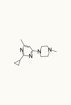 Cc1cc(N2CCN(C)CC2)nc(C2CC2)n1